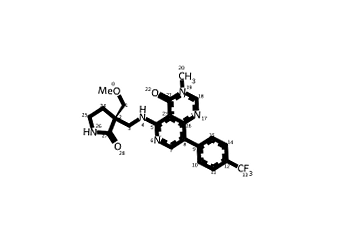 COC[C@]1(CNc2ncc(-c3ccc(C(F)(F)F)cc3)c3ncn(C)c(=O)c23)CCNC1=O